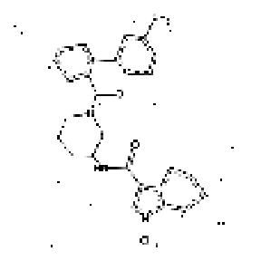 Cc1cccc(-c2ccccc2C(=O)N2CCCC(NC(=O)c3cn(C)c4ccccc34)C2)c1